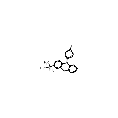 CC(C)(C)c1ccc2c(c1)Cc1ccccc1N2c1ccc(I)cc1